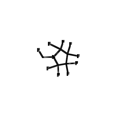 FCN1C(F)(F)C(F)(F)C(F)(F)C1(F)F